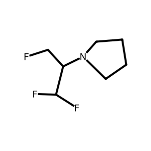 FCC(C(F)F)N1CCCC1